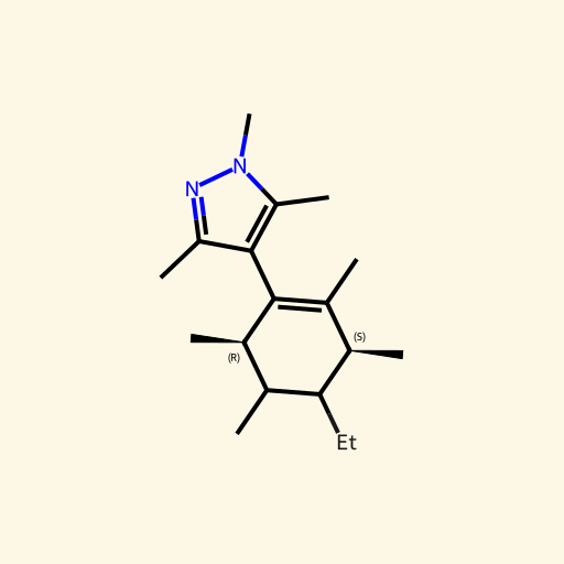 CCC1C(C)[C@@H](C)C(c2c(C)nn(C)c2C)=C(C)[C@H]1C